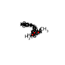 CCc1nccn1C[C@@](c1cccc(F)c1)(C1CCN(CC2CN(c3ccc(S(=O)(=O)C4CC4)cc3)C2)CC1)[C@H]1CCC[C@@H]1OC(=O)NC